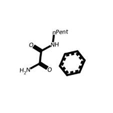 CCCCCNC(=O)C(N)=O.c1ccccc1